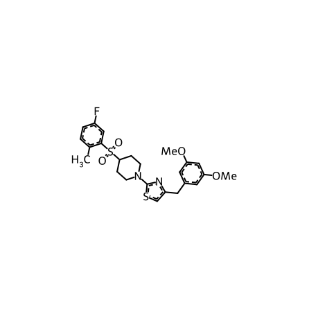 COc1cc(Cc2csc(N3CCC(S(=O)(=O)c4cc(F)ccc4C)CC3)n2)cc(OC)c1